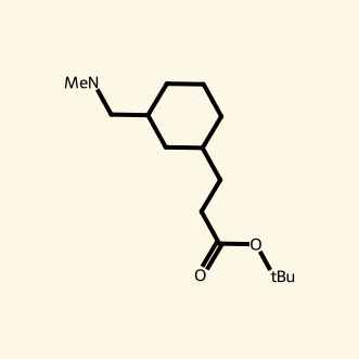 CNCC1CCCC(CCC(=O)OC(C)(C)C)C1